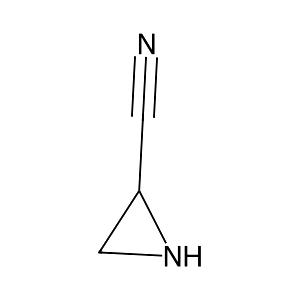 N#CC1CN1